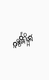 Cc1cnc2c(c1)C(C(=O)c1c(F)ccc(NS(=O)(=O)c3cccnc3)c1F)CN2